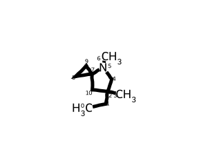 CCC1(C)CN(C)C2(CC2)C1